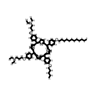 CCCCCCCCCCCCOc1ccc(-c2c3nc(c(-c4ccc(OCCCN(CC)CC)cc4)c4ccc([nH]4)c(-c4ccc(OCCCN(CC)CC)cc4)c4nc(c(-c5ccc(OCCCCC)cc5)c5ccc2[nH]5)C=C4)C=C3)cc1